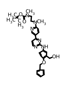 CN(CCN(C)c1ccc(-c2ccnc(Nc3ccc(OCc4ccccc4)c(CO)c3)n2)cn1)C(=O)OC(C)(C)C